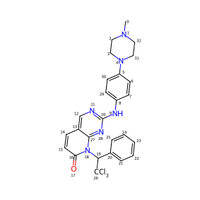 CN1CCN(c2ccc(Nc3ncc4ccc(=O)n(C(c5ccccc5)C(Cl)(Cl)Cl)c4n3)cc2)CC1